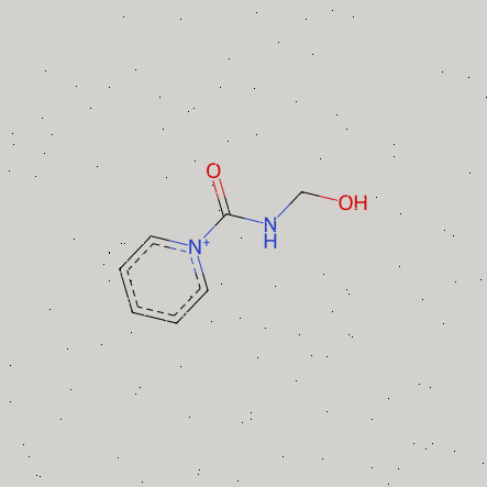 O=C(NCO)[n+]1ccccc1